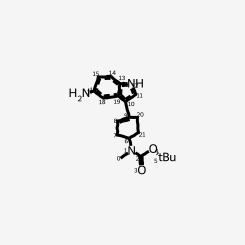 CN(C(=O)OC(C)(C)C)C1CC=C(c2c[nH]c3ccc(N)cc23)CC1